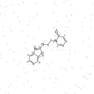 O=c1ccccn1CCSc1nc2ccccc2o1